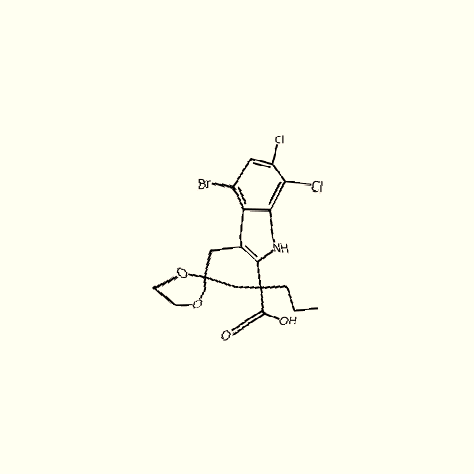 CCCC1(C(=O)O)CC2(Cc3c1[nH]c1c(Cl)c(Cl)cc(Br)c31)OCCO2